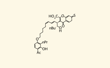 CCCC[C@@H](O)[C@@H](/C=C/C=C\CCCCCOc1ccc(C(C)=O)c(O)c1CCC)c1c(C(=O)O)oc2c(c1=O)=CCC(=S)C=2